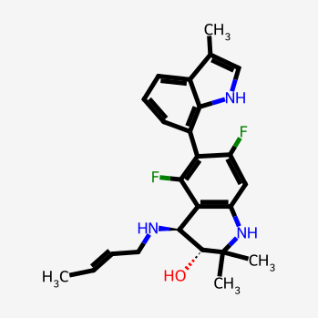 C/C=C/CN[C@H]1c2c(cc(F)c(-c3cccc4c(C)c[nH]c34)c2F)NC(C)(C)[C@@H]1O